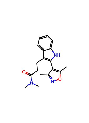 Cc1noc(C)c1-c1[nH]c2ccccc2c1CCC(=O)N(C)C